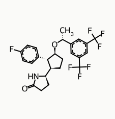 C[C@@H](O[C@H]1CC[C@@H]([C@H]2CCC(=O)N2)[C@@H]1c1ccc(F)cc1)c1cc(C(F)(F)F)cc(C(F)(F)F)c1